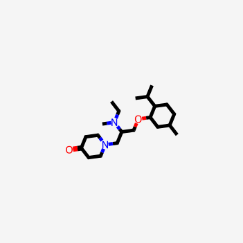 CCN(C)C(COC1CC(C)CCC1C(C)C)CN1CCC(=O)CC1